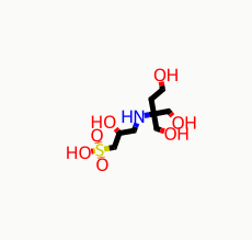 O=S(=O)(O)CC(O)CNC(CO)(CO)CCO